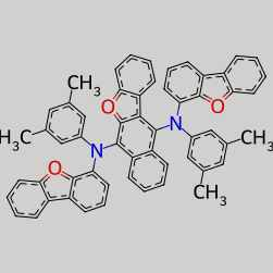 Cc1cc(C)cc(N(c2cccc3c2oc2ccccc23)c2c3ccccc3c(N(c3cc(C)cc(C)c3)c3cccc4c3oc3ccccc34)c3c2oc2ccccc23)c1